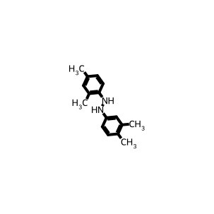 Cc1ccc(NNc2ccc(C)c(C)c2)c(C)c1